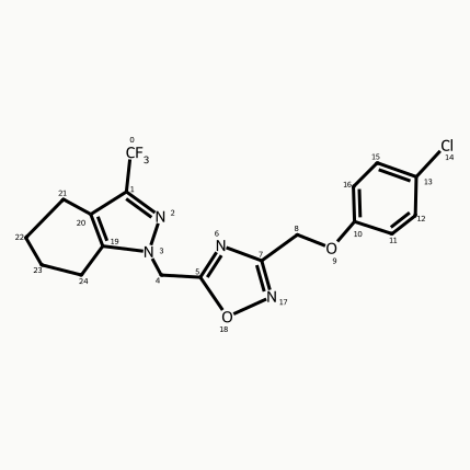 FC(F)(F)c1nn(Cc2nc(COc3ccc(Cl)cc3)no2)c2c1CCCC2